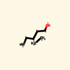 CC.CCCCCCCCO